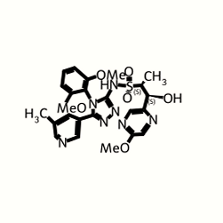 COc1cnc([C@H](O)[C@H](C)S(=O)(=O)Nc2nnc(-c3cncc(C)c3)n2-c2c(OC)cccc2OC)cn1